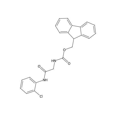 O=C(CNC(=O)OCC1c2ccccc2-c2ccccc21)Nc1ccccc1Cl